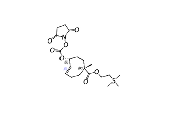 C[C@@]1(C(=O)OCCS(C)(C)C)CC/C=C/[C@H](OC(=O)ON2C(=O)CCC2=O)CC1